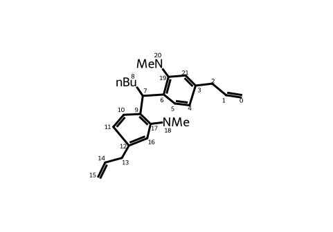 C=CCc1ccc(C(CCCC)c2ccc(CC=C)cc2NC)c(NC)c1